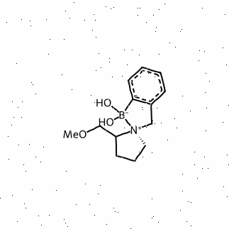 COCC1CCC[N@+]12Cc1ccccc1[B-]2(O)O